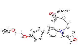 CCCCOCCOc1ccc(-c2ccc3c(c2)/C=C(/C(=O)OC)CCCN3CC2COC2)cc1